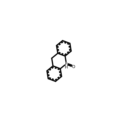 O=[PH]1c2ccccc2Cc2ccccc21